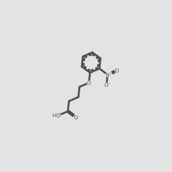 O=C(O)CCCOc1ccccc1[N+](=O)[O-]